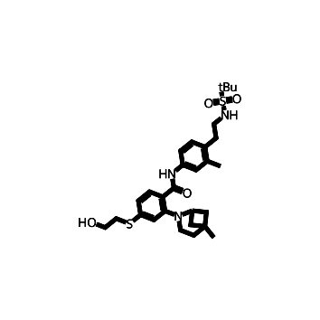 Cc1cc(NC(=O)c2ccc(SCCO)cc2N2CCC3(C)CC2C3)ccc1CCNS(=O)(=O)C(C)(C)C